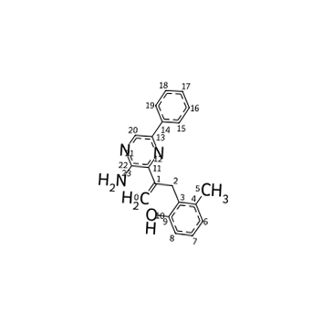 C=C(Cc1c(C)cccc1O)c1nc(-c2ccccc2)cnc1N